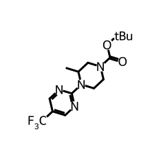 CC1CN(C(=O)OC(C)(C)C)CCN1c1ncc(C(F)(F)F)cn1